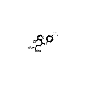 CCCCN(CCCC)CCC(Oc1ccc(C(F)(F)F)cc1)c1sccc1Cl